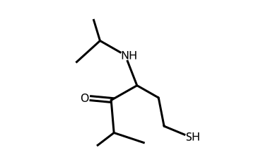 CC(C)NC(CCS)C(=O)C(C)C